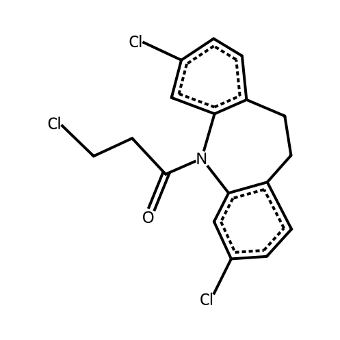 O=C(CCCl)N1c2cc(Cl)ccc2CCc2ccc(Cl)cc21